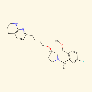 CC(=O)[C@@H](c1cc(F)ccc1COC(C)C)N1CC[C@@H](OCCCCc2ccc3c(n2)NCCC3)C1